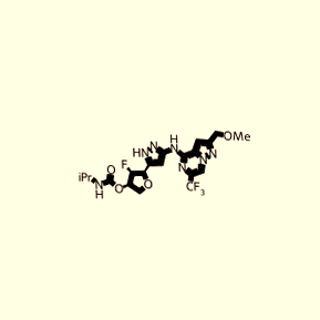 COCc1cc2c(Nc3cc([C@H]4OC[C@@H](OC(=O)NC(C)C)[C@H]4F)[nH]n3)nc(C(F)(F)F)cn2n1